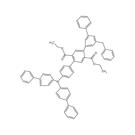 CCOC(=O)c1cc(-c2cc(Cc3ccccc3)cc(-c3ccccc3)c2)c(C(=O)OCC)cc1-c1ccc(N(c2ccc(-c3ccccc3)cc2)c2ccc(-c3ccccc3)cc2)cc1